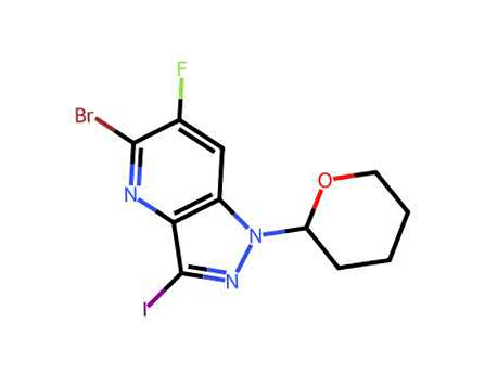 Fc1cc2c(nc1Br)c(I)nn2C1CCCCO1